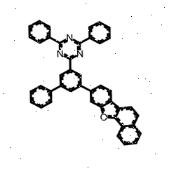 c1ccc(-c2cc(-c3ccc4c(c3)oc3c5ccccc5ccc43)cc(-c3nc(-c4ccccc4)nc(-c4ccccc4)n3)c2)cc1